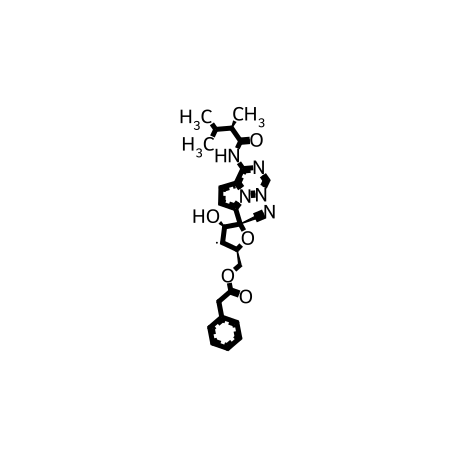 CC(C)[C@@H](C)C(=O)Nc1ncnn2c([C@]3(C#N)O[C@@H](COC(=O)Cc4ccccc4)[CH][C@H]3O)ccc12